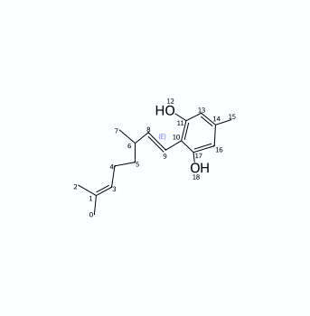 CC(C)=CCCC(C)/C=C/c1c(O)cc(C)cc1O